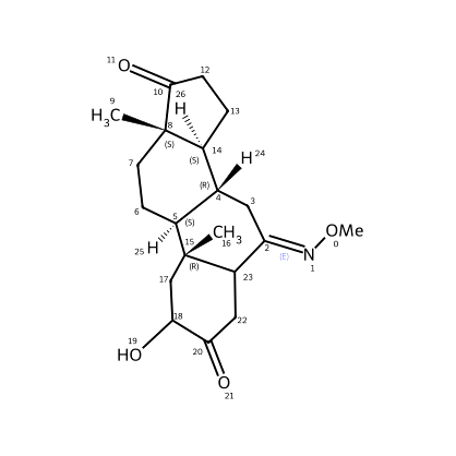 CO/N=C1\C[C@@H]2[C@H](CC[C@]3(C)C(=O)CC[C@@H]23)[C@@]2(C)CC(O)C(=O)CC12